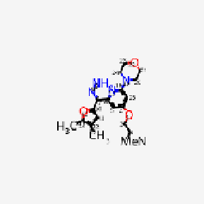 CNCCOc1cc(/C(=N\N)c2cc(C)c(C)o2)nc(N2CCOCC2)c1